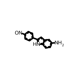 Nc1ccc2[nH]c(-c3ccc(N=O)cc3)cc2c1